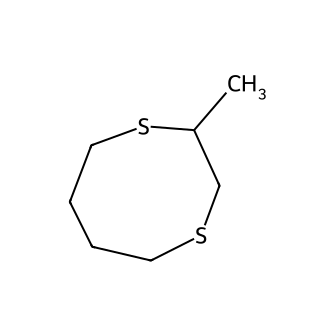 CC1CSCCCCS1